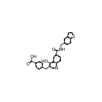 O=C(O)c1ccc(Cc2cnc3ccc(C(=O)NCc4ccc5sccc5c4)cc3c2O)cc1